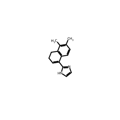 Cc1ccc2c(c1C)CCC=C2c1ncc[nH]1